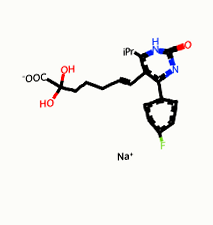 CC(C)c1[nH]c(=O)nc(-c2ccc(F)cc2)c1/C=C/CCCC(O)(O)C(=O)[O-].[Na+]